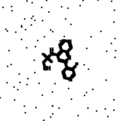 CC(C)(CO)Nc1cc(-c2ccncc2F)nc2cnccc12